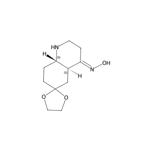 ON=C1CCN[C@H]2CCC3(C[C@H]12)OCCO3